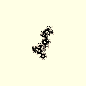 COc1cc2nccc(Oc3ccc(NC(=O)c4c5n(cc(C6=CCCC6)c4=O)CCOC5)cc3F)c2nc1OC